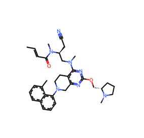 C/C=C/C(=O)N(C)[C@@H](CC#N)CN(C)c1nc(OC[C@@H]2CCCN2C)nc2c1CCN(c1cccc3cccc(C)c13)C2